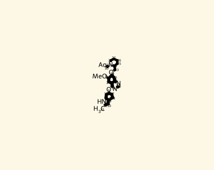 COc1cc2c(Oc3ccc4cc(C)[nH]c4c3)ncnc2cc1OCC1CCCCN1CC(C)=O